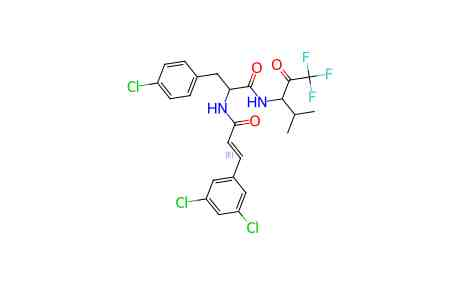 CC(C)C(NC(=O)C(Cc1ccc(Cl)cc1)NC(=O)/C=C/c1cc(Cl)cc(Cl)c1)C(=O)C(F)(F)F